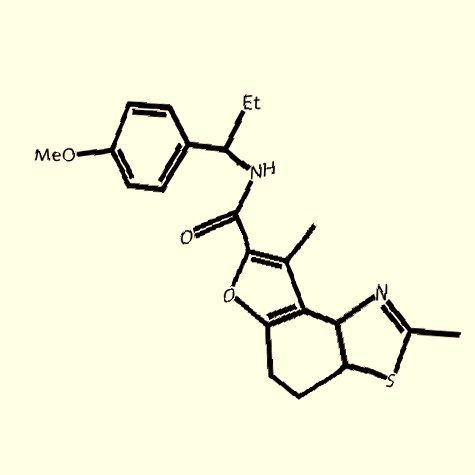 CCC(NC(=O)c1oc2c(c1C)C1N=C(C)SC1CC2)c1ccc(OC)cc1